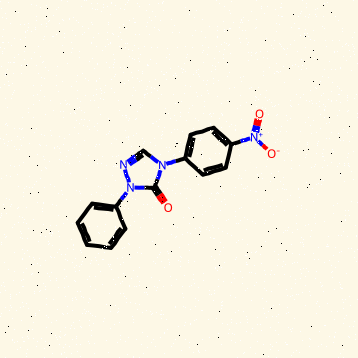 O=c1n(-c2ccc([N+](=O)[O-])cc2)cnn1-c1ccccc1